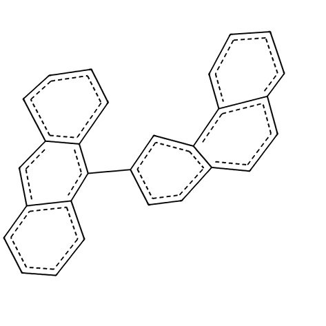 c1ccc2c(-c3ccc4ccc5ccccc5c4c3)c3ccccc3cc2c1